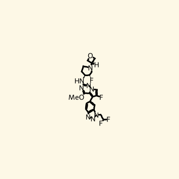 [2H]C1(N2CC[C@H](Nc3nc(OC)c4c(-c5ccc6nnn(CC(F)F)c6c5)c(F)cn4n3)[C@@H](F)C2)COC1